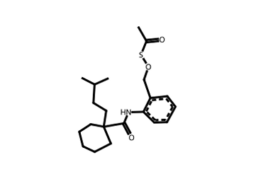 CC(=O)SOCc1ccccc1NC(=O)C1(CCC(C)C)CCCCC1